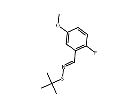 COc1ccc(F)c(C=NSC(C)(C)C)c1